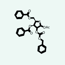 CC(=O)OC1S[C@H](COC(=O)c2ccccc2)[C@H](OC(=O)c2ccccc2)C1OC(=O)OCc1ccccc1